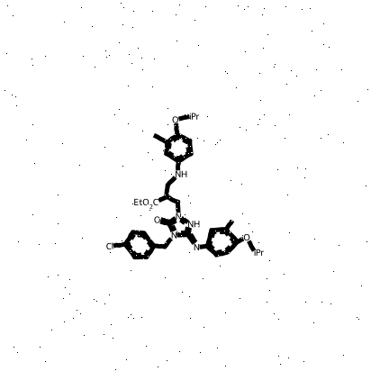 CCOC(=O)C(CNc1ccc(OC(C)C)c(C)c1)Cn1[nH]/c(=N\c2ccc(OC(C)C)c(C)c2)n(Cc2ccc(Cl)cc2)c1=O